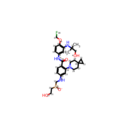 CC(C)(CO)Nc1cc(NC(=O)c2ccc(NC[S+]([O-])CCO)cc2N2CCC3(CC2)CC3)ccc1OCF